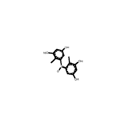 Cc1c(O)cc(O)cc1[S+]([O-])c1cc(O)cc(O)c1C